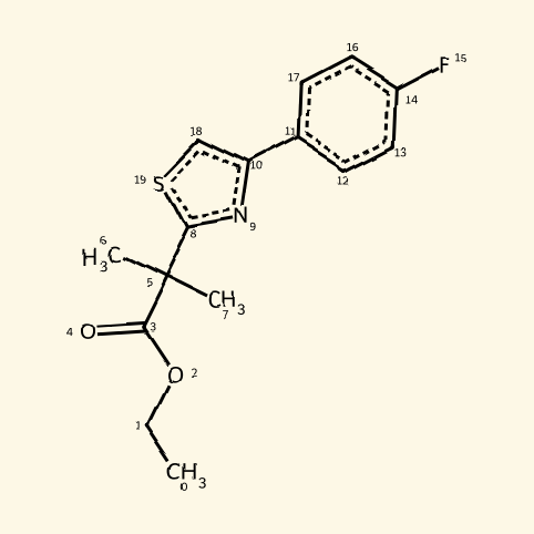 CCOC(=O)C(C)(C)c1nc(-c2ccc(F)cc2)cs1